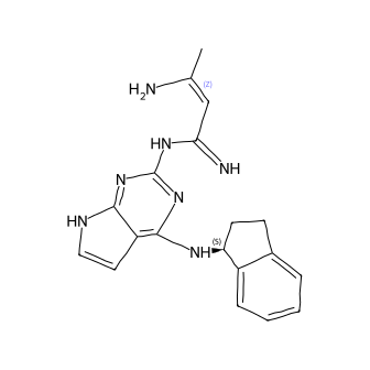 C/C(N)=C/C(=N)Nc1nc(N[C@H]2CCc3ccccc32)c2cc[nH]c2n1